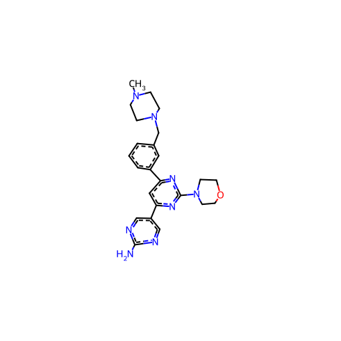 CN1CCN(Cc2cccc(-c3cc(-c4cnc(N)nc4)nc(N4CCOCC4)n3)c2)CC1